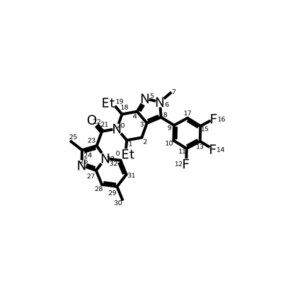 CCC1Cc2c(nn(C)c2-c2cc(F)c(F)c(F)c2)C(CC)N1C(=O)c1c(C)nc2cc(C)ccn12